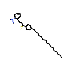 CCCCCCCCCCCCCCCCc1ccc(C(=S)C=Cc2ccccc2N(C)C)cc1